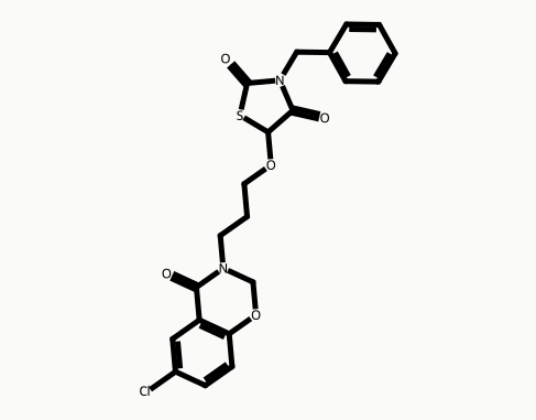 O=C1c2cc(Cl)ccc2OCN1CCCOC1SC(=O)N(Cc2ccccc2)C1=O